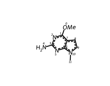 COc1nc(N)nc2c1ccn2C